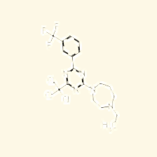 CCN1CCCN(c2nc(-c3cccc(C(F)(F)F)c3)nc(C(Cl)(Cl)Cl)n2)CC1